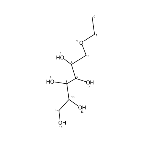 CCOCC(O)C(O)C(O)C(O)CO